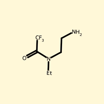 CCN(CCN)C(=O)C(F)(F)F